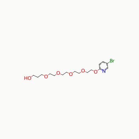 OCCCOCCOCCOCCOCCOc1ccc(Br)cn1